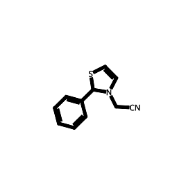 N#CCN1C=CSC1c1ccccc1